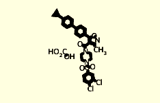 Cc1noc(-c2ccc(-c3ccc(C4CC4)cc3)cc2)c1C(=O)N1CCN(S(=O)(=O)c2ccc(Cl)c(Cl)c2)CC1.O=C(O)O